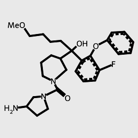 COCCCCC(O)(c1cccc(F)c1Oc1ccccc1)C1CCCN(C(=O)N2CCC(N)C2)C1